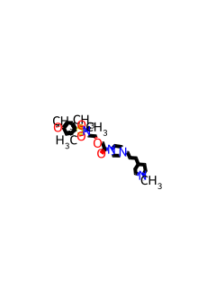 COc1cc(C)c(S(=O)(=O)N(C)CCOCC(=O)N2CCN(CCCC3CCN(C)CC3)CC2)c(C)c1